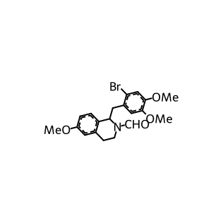 COc1ccc2c(c1)CCN(C=O)C2Cc1cc(OC)c(OC)cc1Br